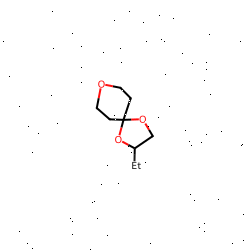 CCC1COC2(CCOCC2)O1